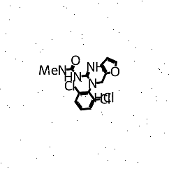 CNC(=O)NC(=N)N(Cc1ccco1)c1c(Cl)cccc1Cl.Cl